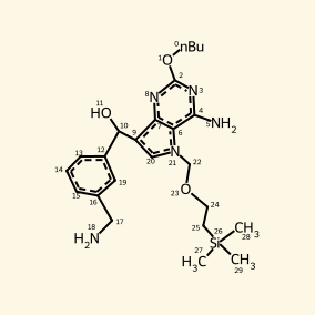 CCCCOc1nc(N)c2c(n1)c(C(O)c1cccc(CN)c1)cn2COCC[Si](C)(C)C